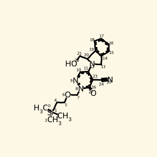 C[Si](C)(C)CCOCn1ncc(N2Cc3ccccc3C2CO)c(C#N)c1=O